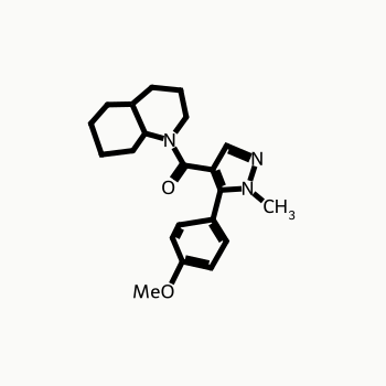 COc1ccc(-c2c(C(=O)N3CCCC4CCCCC43)cnn2C)cc1